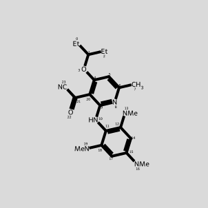 CCC(CC)Oc1cc(C)nc(Nc2c(NC)cc(NC)cc2NC)c1C(=O)C#N